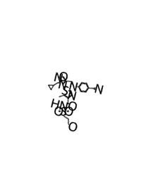 COCCCS(=O)(=O)NC(=O)c1nc(N(Cc2nc(C3CC3)no2)c2ccc(C#N)cc2)sc1C